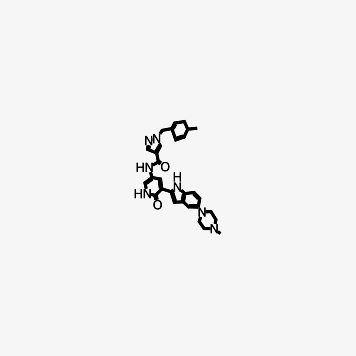 CC1C=CC(Cn2cc(C(=O)Nc3c[nH]c(=O)c(-c4cc5cc(N6CCN(C)CC6)ccc5[nH]4)c3)cn2)=CC1